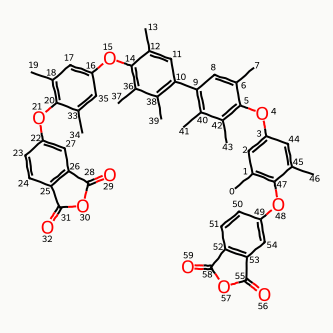 Cc1cc(Oc2c(C)cc(-c3cc(C)c(Oc4cc(C)c(Oc5ccc6c(c5)C(=O)OC6=O)c(C)c4)c(C)c3C)c(C)c2C)cc(C)c1Oc1ccc2c(c1)C(=O)OC2=O